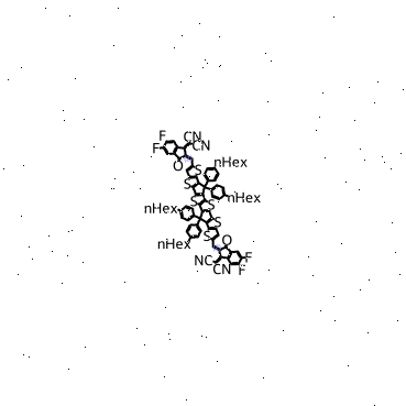 CCCCCCc1ccc(C2(c3ccc(CCCCCC)cc3)c3c(sc4cc(/C=C5\C(=O)c6cc(F)c(F)cc6C5=C(C#N)C#N)sc34)-c3sc4c5c(sc4c32)-c2sc3cc(/C=C4\C(=O)c6cc(F)c(F)cc6C4=C(C#N)C#N)sc3c2C5(c2ccc(CCCCCC)cc2)c2ccc(CCCCCC)cc2)cc1